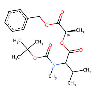 CC(C)C(C(=O)O[C@H](C)C(=O)OCc1ccccc1)N(C)C(=O)OC(C)(C)C